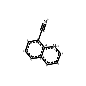 N#Cc1cccc2c[c]cnc12